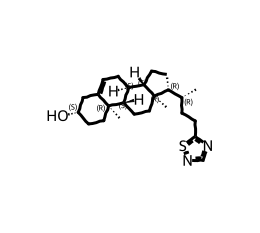 C[C@H](CCc1ncns1)[C@H]1CC[C@H]2[C@@H]3CC=C4C[C@@H](O)CC[C@]4(C)[C@H]3CC[C@]12C